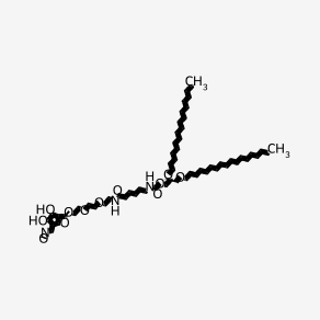 CCCCCCCCCCCCCCCCCCOC[C@@H](COC(=O)NCCCCCC(=O)NCCOCCOCCO[C@H]1OC2C(CN=O)C(O)C(O)C21)OCCCCCCCCCCCCCCCCCC